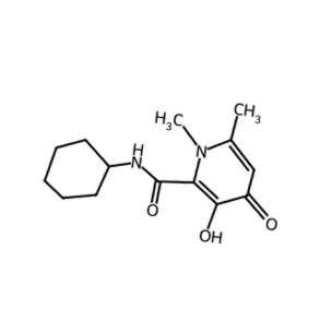 Cc1cc(=O)c(O)c(C(=O)NC2CCCCC2)n1C